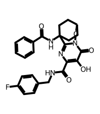 O=C(NC12CCC(CC1)Cn1c2nc(C(=O)NCc2ccc(F)cc2)c(O)c1=O)c1ccccc1